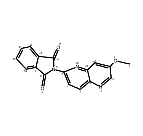 COc1cnc2ccc(N3C(=O)c4ccccc4C3=O)nc2c1